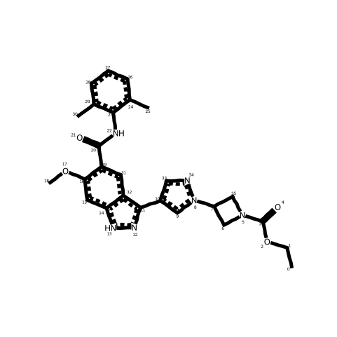 CCOC(=O)N1CC(n2cc(-c3n[nH]c4cc(OC)c(C(=O)Nc5c(C)cccc5C)cc34)cn2)C1